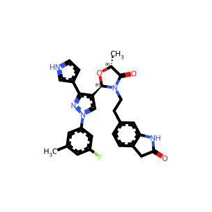 Cc1cc(F)cc(-n2cc([C@H]3O[C@H](C)C(=O)N3CCc3ccc4c(c3)NC(=O)C4)c(-c3cc[nH]c3)n2)c1